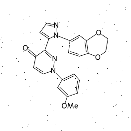 COc1cccc(-n2ccc(=O)c(-c3ccnn3-c3ccc4c(c3)OCCO4)n2)c1